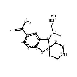 CN(C)C1c2cc(C(N)=O)ccc2CC12CCNCC2.Cl.Cl